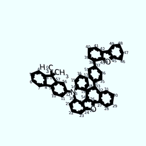 CC1(C)c2ccccc2-c2ccc(N(c3ccccc3)c3cccc4oc5c6ccccc6c(-c6ccc(-c7cccc8c7oc7ccccc78)cc6)cc5c34)cc21